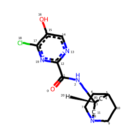 O=C(N[C@@H]1CC2CCN(CC2)C1)c1ncc(O)c(Cl)n1